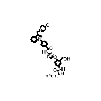 CCCCCNC(=O)Nc1ccc(Oc2cnc(NC(=O)c3ccc(-n4cc(CN5CCC(O)CC5)c5ccccc54)cc3)s2)c(CO)c1